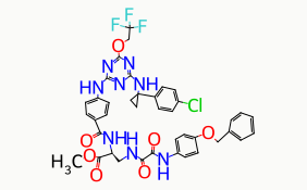 COC(=O)[C@H](CNC(=O)C(=O)Nc1ccc(OCc2ccccc2)cc1)NC(=O)c1ccc(Nc2nc(NC3(c4ccc(Cl)cc4)CC3)nc(OCC(F)(F)F)n2)cc1